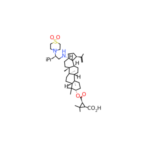 C=C(C)[C@@H]1CC[C@]2(NC[C@@H](C(C)C)N3CCS(=O)(=O)CC3)CC[C@]3(C)[C@H](CC[C@@H]4[C@@]5(C)CC[C@H](OC(=O)[C@H]6[C@@H](C(=O)O)C6(C)C)C(C)(C)[C@@H]5CC[C@]43C)[C@@H]12